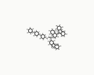 C(/Cc1ccc(-c2ccc(-c3ccccc3)cc2)cc1)=C(/c1ccc2oc3cccnc3c2c1)c1ccc(-n2c3ccccc3c3ccccc32)c2ccccc12